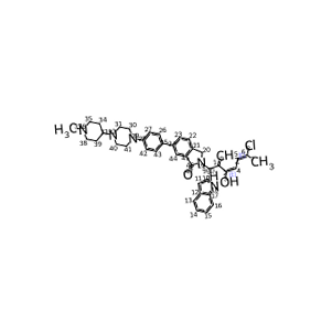 C=C(/C(O)=C\C=C(/C)Cl)[C@H](c1cc2ccccc2[nH]1)N1Cc2ccc(-c3ccc(N4CCN(C5CCN(C)CC5)CC4)cc3)cc2C1=O